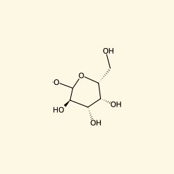 [O]C1O[C@H](CO)[C@H](O)[C@H](O)[C@H]1O